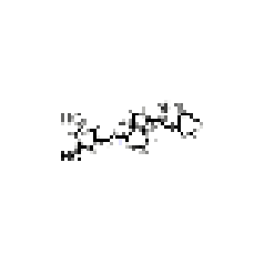 CC(C)[C@@H]1COCCN1C[C@@H](C)[C@H]1CC[C@H]2/C(=C/C=C3C[C@@H](O)C[C@H](O)C3)CCC[C@]12C